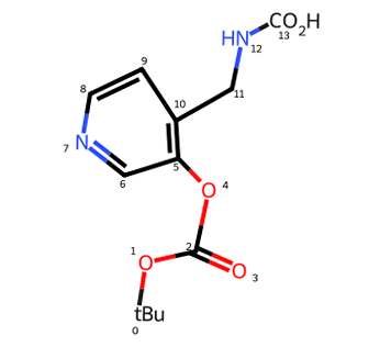 CC(C)(C)OC(=O)Oc1cnccc1CNC(=O)O